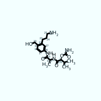 CC(C)[C@H](OC(N)=O)C(=O)N[C@@H](C)C(=O)Nc1ccc(CO)c(CCCN)c1